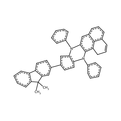 CC1(C)c2ccccc2-c2ccc(-c3ccc4c(c3)N(c3ccccc3)c3cc5cccc6c5c(c3N4c3ccccc3)CC=C6)cc21